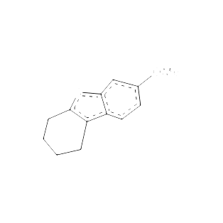 COc1ccc2c3c(sc2c1)CCCC3